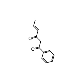 C/C=C/C(=O)CC(=O)c1ccccc1